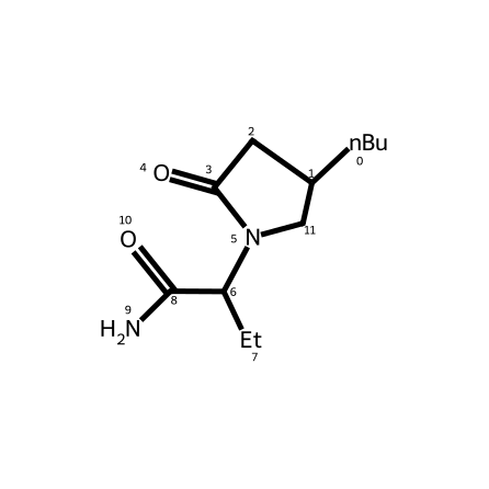 CCCCC1CC(=O)N(C(CC)C(N)=O)C1